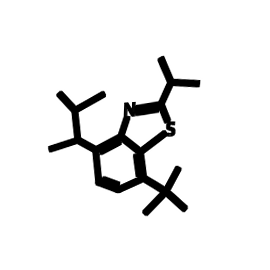 CC(C)c1nc2c(C(C)C(C)C)ccc(C(C)(C)C)c2s1